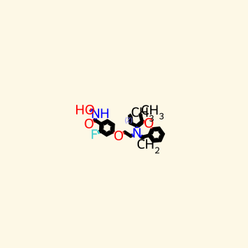 C=C1c2ccccc2OC(CC)=C(/C=C\C)N1CCOc1ccc(C(=O)NO)c(F)c1